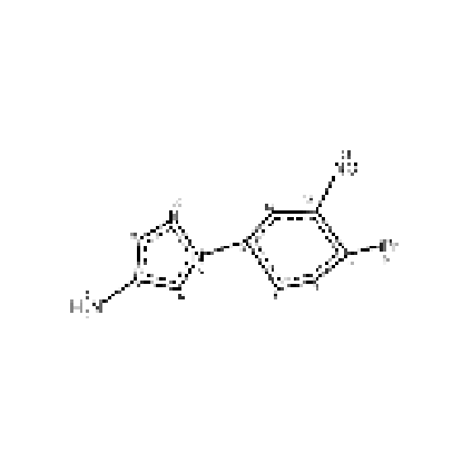 CC(C)c1ccc(-n2cc(N)cn2)cc1N=O